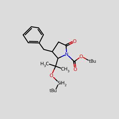 CC(C)(C)OC(=O)N1C(=O)CC(Cc2ccccc2)C1C(C)(C)O[SiH2]C(C)(C)C